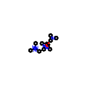 c1ccc(-c2nc(-c3ccccc3)nc(-c3cccc(-c4ccc(-n5c6ccccc6c6ccccc65)c(-n5c6ccccc6c6cc(-c7ccc8c(c7)c7ccccc7n8-c7ccccc7)ccc65)c4)c3)n2)cc1